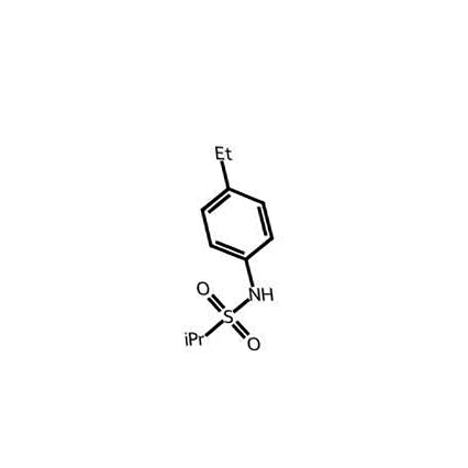 CCc1ccc(NS(=O)(=O)C(C)C)cc1